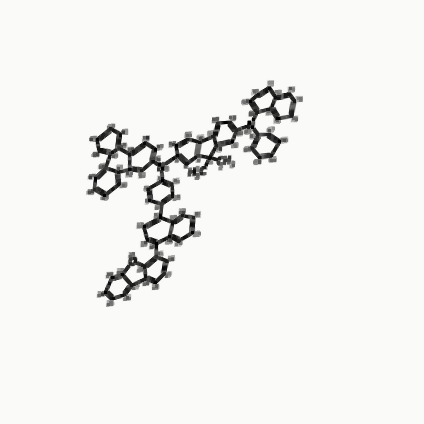 CC1(C)c2cc(N(c3ccc(-c4ccc(-c5cccc6c5oc5ccccc56)c5ccccc45)cc3)c3ccc4c5ccccc5c5ccccc5c4c3)ccc2-c2ccc(N(c3ccccc3)c3cccc4ccccc34)cc21